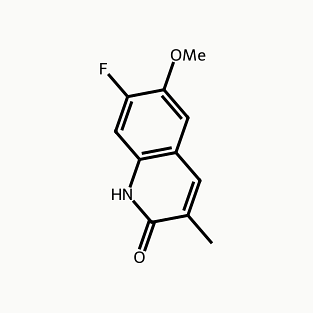 COc1cc2cc(C)c(=O)[nH]c2cc1F